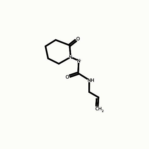 C=CCNC(=O)[N]N1CCCCC1=O